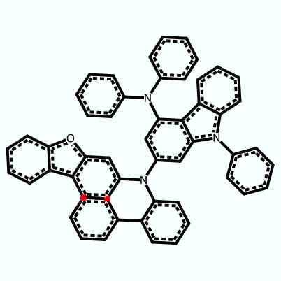 c1ccc(-c2ccccc2N(c2ccc3c(c2)oc2ccccc23)c2cc(N(c3ccccc3)c3ccccc3)c3c4ccccc4n(-c4ccccc4)c3c2)cc1